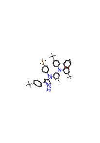 Cc1cc(N(c2ccc(S(C)(C)C)cc2)c2c[nH]c(-c3ccc(C(C)(C)C)cc3)c2)cc(N(c2cccc(C(C)(C)C)c2)c2ccc(C(C)(C)C)cc2-c2ccccc2)c1